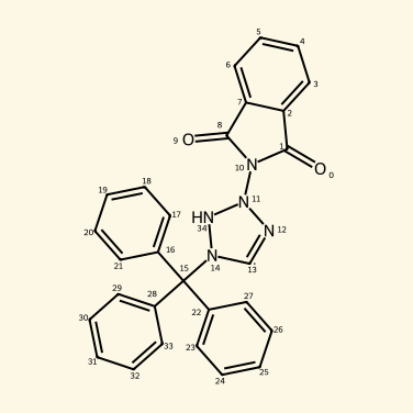 O=C1c2ccccc2C(=O)N1N1N=[C]N(C(c2ccccc2)(c2ccccc2)c2ccccc2)N1